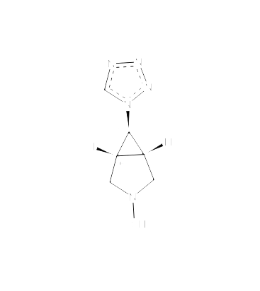 CN1C[C@@H]2[C@H](C1)[C@H]2n1cnnn1